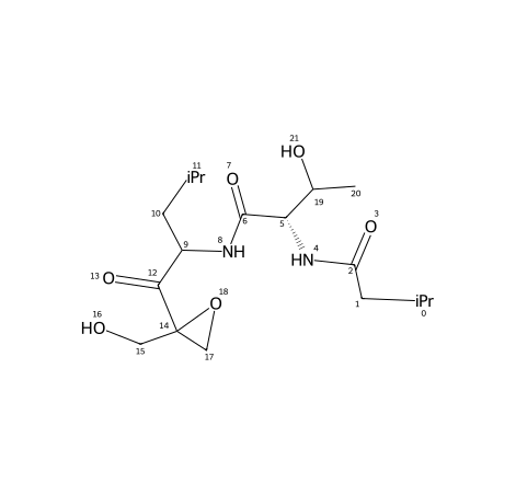 CC(C)CC(=O)N[C@H](C(=O)NC(CC(C)C)C(=O)C1(CO)CO1)C(C)O